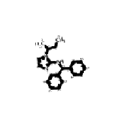 CCC(C)n1ccnc1BC(c1ccccc1)c1ccccc1